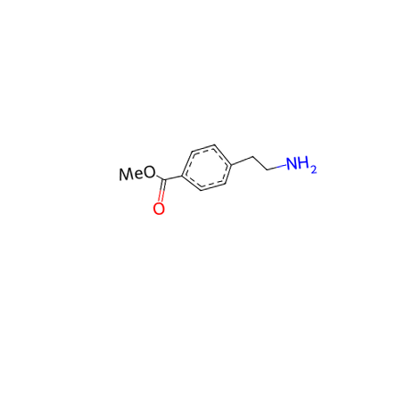 COC(=O)c1ccc(CCN)cc1